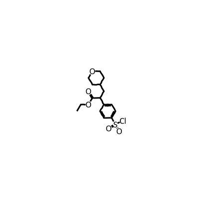 CCOC(=O)C(CC1CCOCC1)c1ccc(S(=O)(=O)Cl)cc1